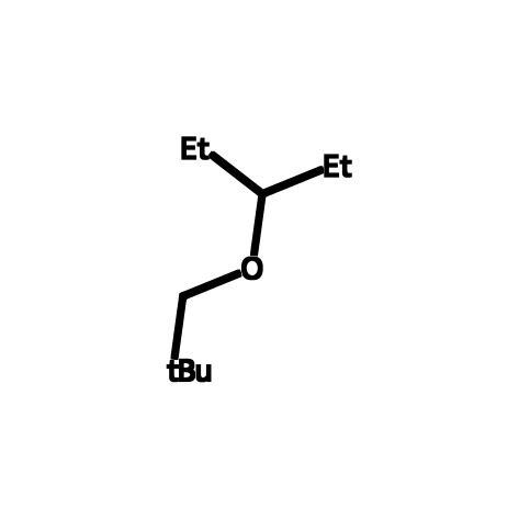 [CH2]CC(CC)OCC(C)(C)C